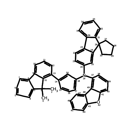 CC1(C)c2ccccc2-c2cccc(-c3cccc(N(c4ccc5c(c4)C4(CCCC4)c4ccccc4-5)c4cccc5oc6ccccc6c45)c3)c21